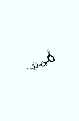 CC(CC(=O)NN)c1nnc(-c2cccc(Cl)c2)o1